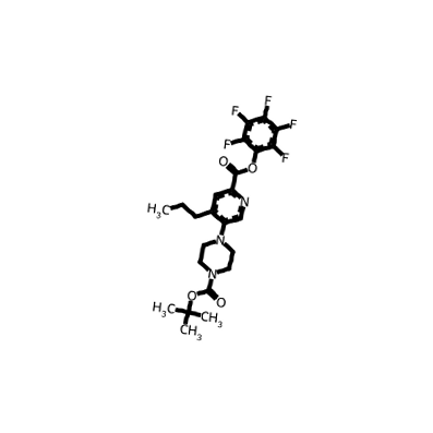 CCCc1cc(C(=O)Oc2c(F)c(F)c(F)c(F)c2F)ncc1N1CCN(C(=O)OC(C)(C)C)CC1